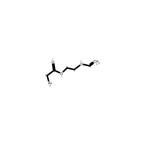 C=COCCOC(=O)CC(C)=O